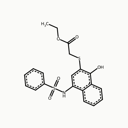 CCOC(=O)CSc1cc(NS(=O)(=O)c2ccccc2)c2ccccc2c1O